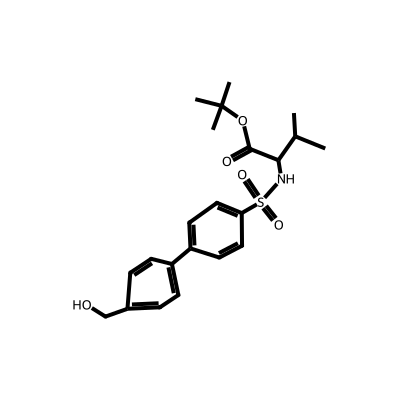 CC(C)C(NS(=O)(=O)c1ccc(-c2ccc(CO)cc2)cc1)C(=O)OC(C)(C)C